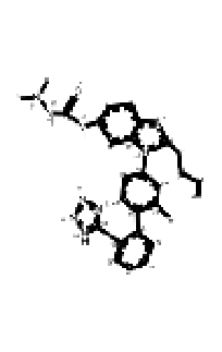 CCCCc1nc2ccc(NC(=O)NN(C)C)cc2n1-c1ccc(-c2ccccc2-c2nnn[nH]2)c(C)c1